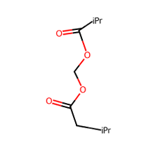 CC(C)CC(=O)OCOC(=O)C(C)C